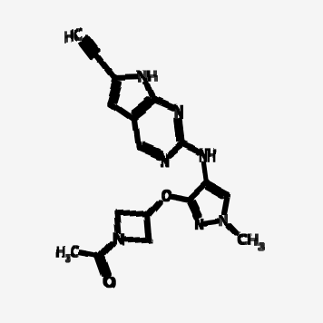 C#Cc1cc2cnc(Nc3cn(C)nc3OC3CN(C(C)=O)C3)nc2[nH]1